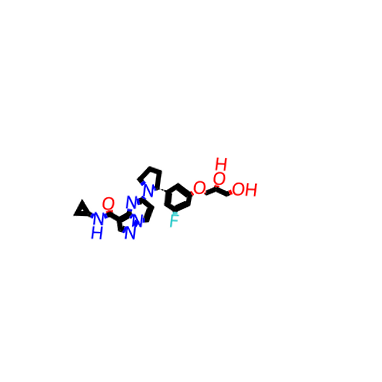 O=C(NC1CC1)c1cnn2ccc(N3CCC[C@@H]3c3cc(F)cc(OCC(O)CO)c3)nc12